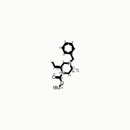 C/C=C1\CN(Cc2ccccc2)[C@H](C)CN1C(=O)OC(C)(C)C